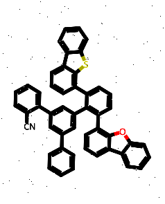 N#Cc1ccccc1-c1cc(-c2ccccc2)cc(-c2c(-c3cccc4c3oc3ccccc34)cccc2-c2cccc3c2sc2ccccc23)c1